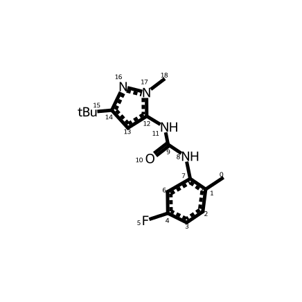 Cc1ccc(F)cc1NC(=O)Nc1cc(C(C)(C)C)nn1C